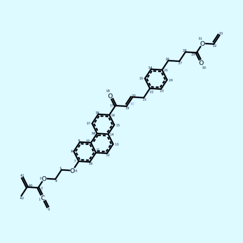 C=C=C(OCCOc1ccc2c(ccc3cc(C(=O)/C=C/Cc4ccc(CCCC(=O)OC=C)cc4)ccc32)c1)C(=C)C